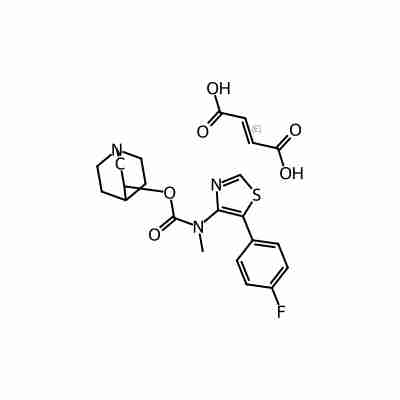 CN(C(=O)OC1CN2CCC1CC2)c1ncsc1-c1ccc(F)cc1.O=C(O)/C=C/C(=O)O